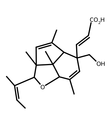 C/C=C(/C)C1OC2C(C)=CC(/C=C/C(=O)O)(CO)C3C(C)=CC1(C)C23C